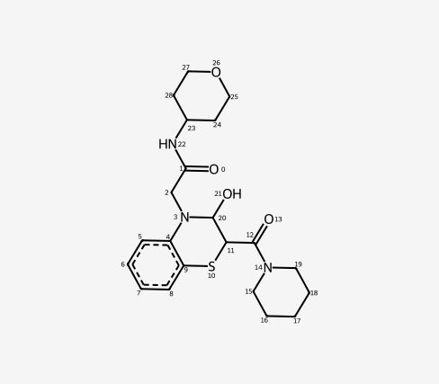 O=C(CN1c2ccccc2SC(C(=O)N2CCCCC2)C1O)NC1CCOCC1